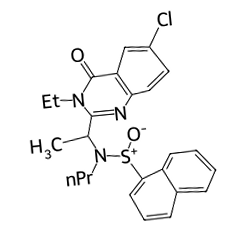 CCCN(C(C)c1nc2ccc(Cl)cc2c(=O)n1CC)[S+]([O-])c1cccc2ccccc12